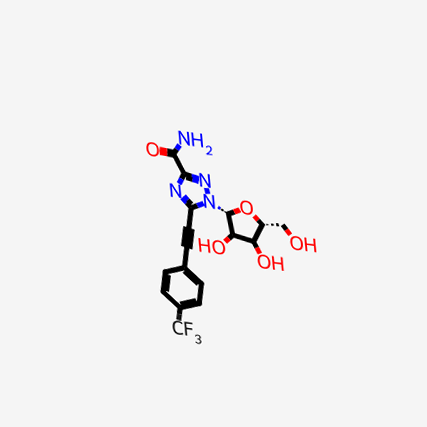 NC(=O)c1nc(C#Cc2ccc(C(F)(F)F)cc2)n([C@@H]2O[C@H](CO)C(O)C2O)n1